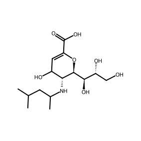 CC(C)CC(C)N[C@@H]1C(O)C=C(C(=O)O)O[C@H]1[C@H](O)[C@H](O)CO